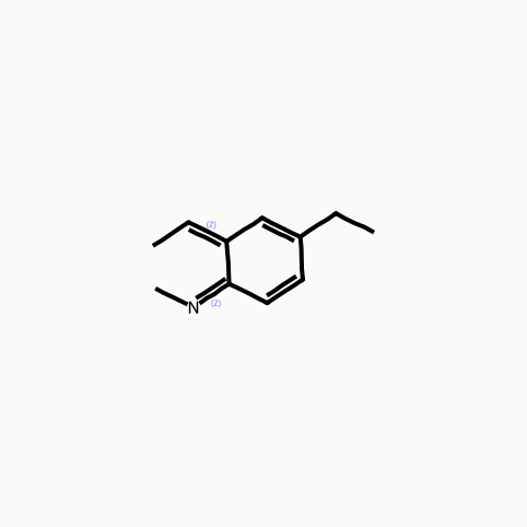 C/C=C1/C=C(CC)C=C/C1=N/C